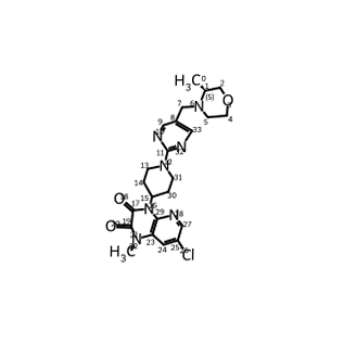 C[C@H]1COCCN1Cc1cnc(N2CCC(n3c(=O)c(=O)n(C)c4cc(Cl)cnc43)CC2)nc1